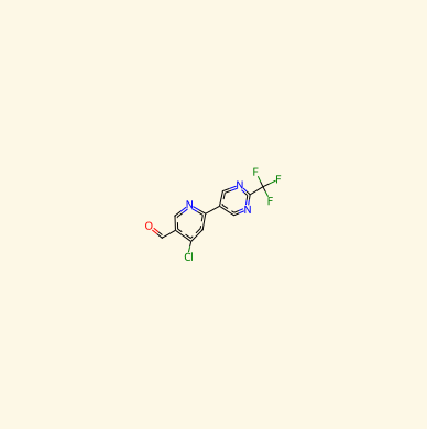 O=Cc1cnc(-c2cnc(C(F)(F)F)nc2)cc1Cl